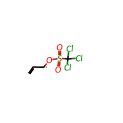 C=C[CH]OS(=O)(=O)C(Cl)(Cl)Cl